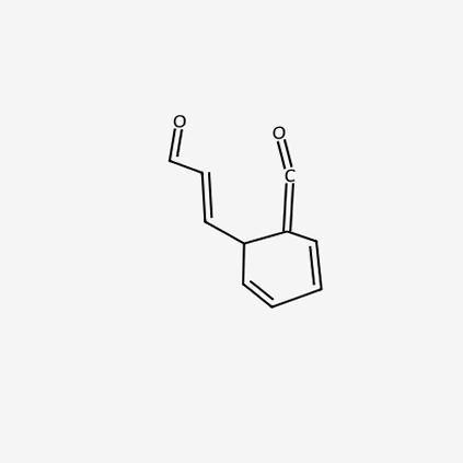 O=C=C1C=CC=CC1C=CC=O